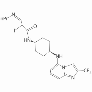 CCC/N=C\C(I)C(=O)N[C@H]1CC[C@@H](Nc2cccc3nc(C(F)(F)F)cn23)CC1